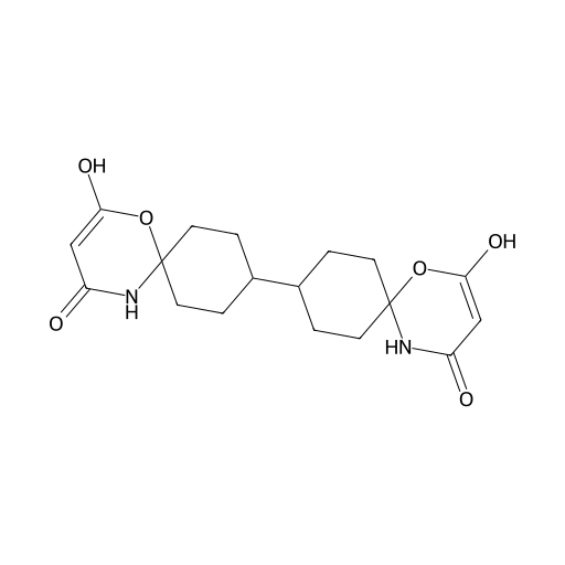 O=C1C=C(O)OC2(CCC(C3CCC4(CC3)NC(=O)C=C(O)O4)CC2)N1